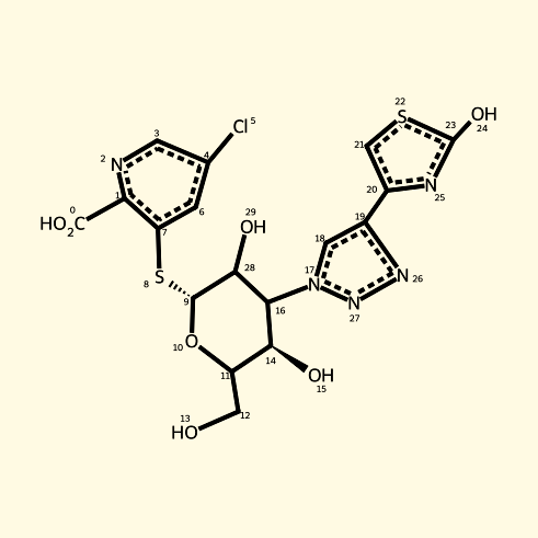 O=C(O)c1ncc(Cl)cc1S[C@H]1OC(CO)[C@H](O)C(n2cc(-c3csc(O)n3)nn2)C1O